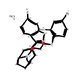 COc1cc(C(C)=O)ccc1OCCCN1C2CCC1CC(c1noc3cc(F)ccc13)C2.Cl